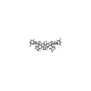 COc1cc2c(OC)c(-c3c(C)cc4c(C(=O)NCc5cccc(C)c5)c(OC)c(OC)cc4c3OC)c(C)cc2c(C(=O)NCc2cccc(C)c2)c1OC